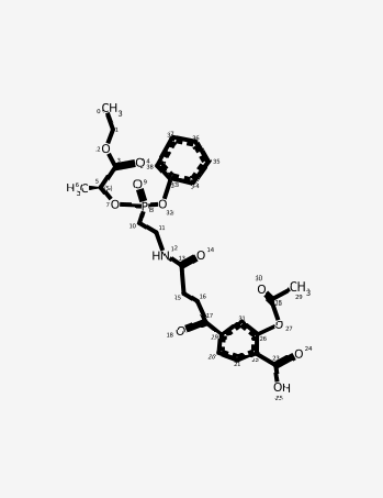 CCOC(=O)[C@H](C)OP(=O)(CCNC(=O)CCC(=O)c1ccc(C(=O)O)c(OC(C)=O)c1)Oc1ccccc1